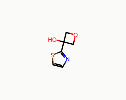 OC1(c2nccs2)COC1